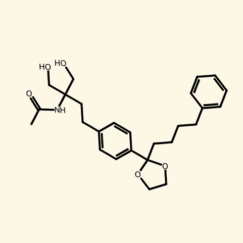 CC(=O)NC(CO)(CO)CCc1ccc(C2(CCCCc3ccccc3)OCCO2)cc1